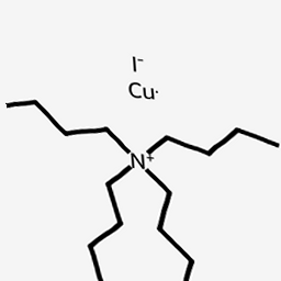 CCCC[N+](CCCC)(CCCC)CCCC.[Cu].[I-]